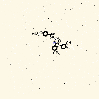 CC1=C(C)CCC(N2C(=O)/C(=C\Nc3nc(-c4ccc(C(=O)O)cc4)cs3)c3ccc(C(F)(F)F)cc32)=C1